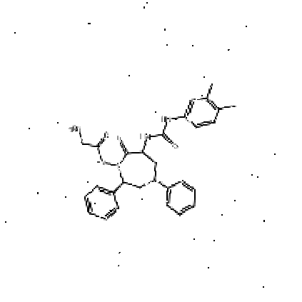 Cc1ccc(NC(=O)NC2CC(c3ccccc3)CC(c3ccccc3)N(NC(=O)CC(C)(C)C)C2=O)cc1C